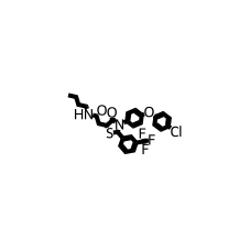 CCCCNC(=O)CC1SC(c2cccc(C(F)(F)F)c2)N(c2ccc(Oc3ccc(Cl)cc3)cc2)C1=O